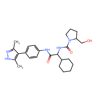 Cc1n[nH]c(C)c1-c1ccc(NC(=O)C(NC(=O)N2CCCC2CO)C2CCCCC2)cc1